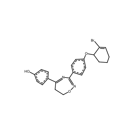 Oc1ccc(C2=NC(c3ccc(OC4CCCC=C4Br)cc3)=NOCC2)cc1